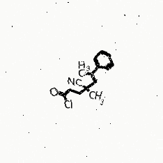 CC(CC(C)(C#N)CCC(=O)Cl)c1ccccc1